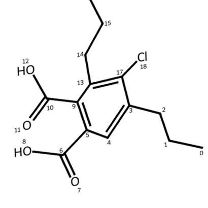 CCCc1cc(C(=O)O)c(C(=O)O)c(CCC)c1Cl